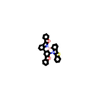 c1ccc2c(c1)oc1c3c4c(cc12)-c1cccc2c5c6ccccc6oc5n(c12)B4c1cccc2c4sc5ccccc5c4n-3c12